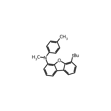 Cc1ccc(N(C)c2cccc3c2oc2c(C(C)(C)C)cccc23)cc1